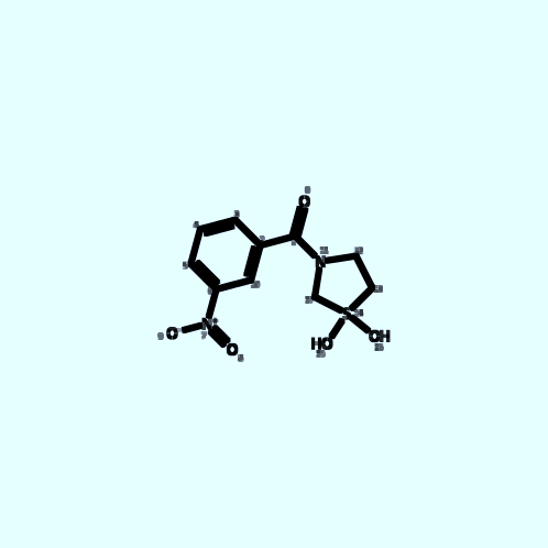 O=C(c1cccc([N+](=O)[O-])c1)N1CCS(O)(O)C1